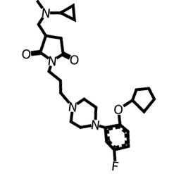 CN(CC1CC(=O)N(CCCN2CCN(c3cc(F)ccc3OC3CCCC3)CC2)C1=O)C1CC1